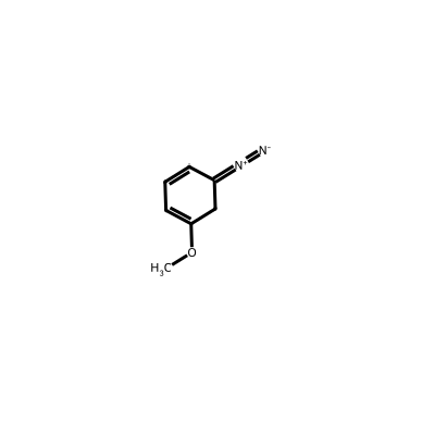 COC1=CC=[C]C(=[N+]=[N-])C1